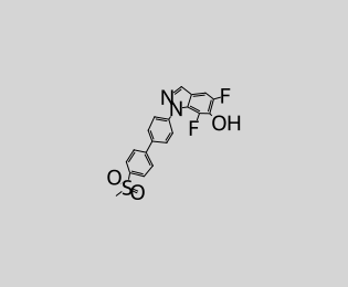 CS(=O)(=O)c1ccc(-c2ccc(-n3ncc4cc(F)c(O)c(F)c43)cc2)cc1